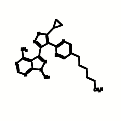 CC(C)(C)n1nc(-c2noc(C3CC3)c2-c2ncc(CCCCCC(=O)O)cn2)c2c(N)ncnc21